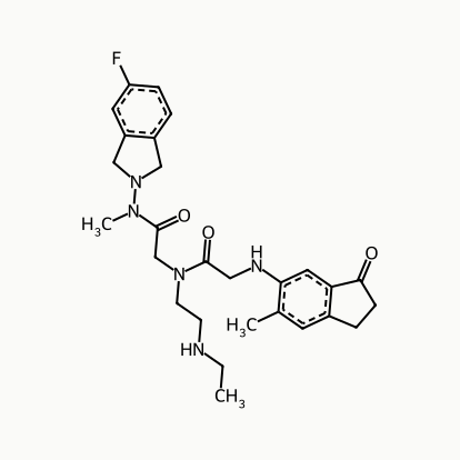 CCNCCN(CC(=O)N(C)N1Cc2ccc(F)cc2C1)C(=O)CNc1cc2c(cc1C)CCC2=O